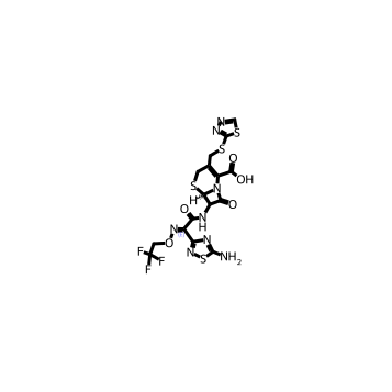 Nc1nc(/C(=N\OCC(F)(F)F)C(=O)NC2C(=O)N3C(C(=O)O)=C(CSc4nncs4)CS[C@H]23)ns1